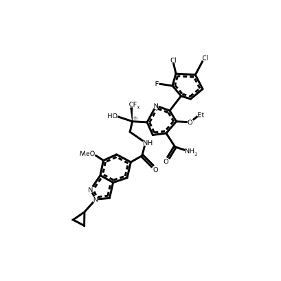 CCOc1c(C(N)=O)cc([C@@](O)(CNC(=O)c2cc(OC)c3nn(C4CC4)cc3c2)C(F)(F)F)nc1-c1ccc(Cl)c(Cl)c1F